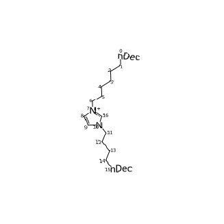 CCCCCCCCCCCCCCCC[n+]1ccn(CCCCCCCCCCCCCC)c1